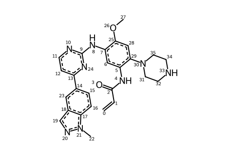 C=CC(=O)Nc1cc(Nc2nccc(-c3ccc4c(cnn4C)c3)n2)c(OC)cc1N1CCNCC1